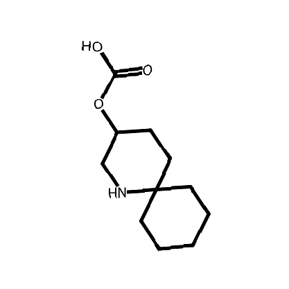 O=C(O)OC1CCC2(CCCCC2)NC1